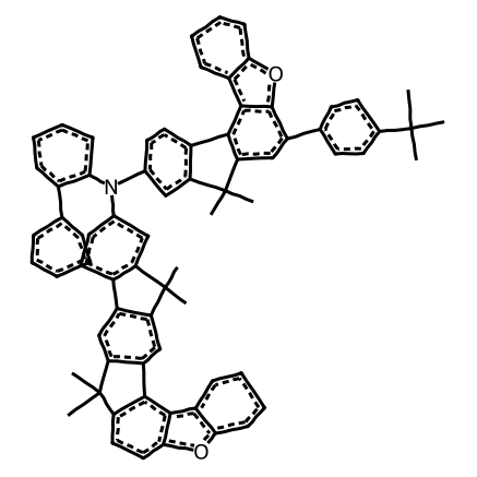 CC(C)(C)c1ccc(-c2cc3c(c4c2oc2ccccc24)-c2ccc(N(c4ccc5c(c4)C(C)(C)c4cc6c(cc4-5)C(C)(C)c4ccc5oc7ccccc7c5c4-6)c4ccccc4-c4ccccc4)cc2C3(C)C)cc1